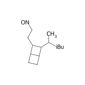 CCC(C)C(C)C1C(CCN=O)C2CCC21